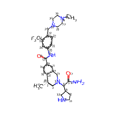 C[C@H]1CN(C(C(N)=O)C2CCNC2)Cc2cc(C(=O)Nc3ccc(CN4CCN(C)CC4)c(C(F)(F)F)c3)ccc21